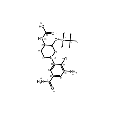 CC(C)(C)[Si](C)(C)OC1CN(c2cc(C(N)=O)cc(N)c2Cl)CCC1NC(=O)O